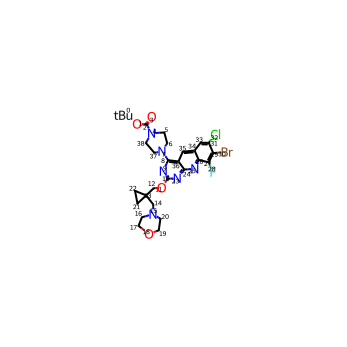 CC(C)(C)OC(=O)N1CCN(c2nc(OCC3(CN4CCOCC4)CC3)nc3nc4c(F)c(Br)c(Cl)cc4cc23)CC1